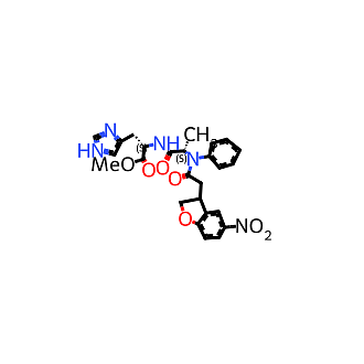 COC(=O)[C@H](Cc1c[nH]cn1)NC(=O)[C@H](C)N(C(=O)CC1COc2ccc([N+](=O)[O-])cc21)c1ccccc1